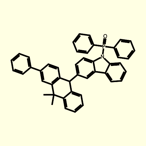 CC1(C)c2ccccc2C(c2ccc3c(c2)c2ccccc2n3P(=O)(c2ccccc2)c2ccccc2)c2ccc(-c3ccccc3)cc21